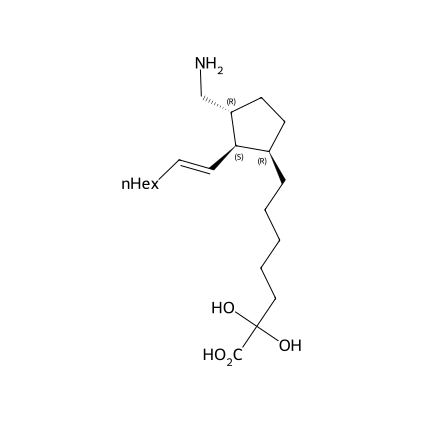 CCCCCCC=C[C@@H]1[C@H](CCCCCC(O)(O)C(=O)O)CC[C@H]1CN